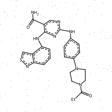 CCC(=O)N1CCN(c2ccc(Nc3ncc(C(N)=O)c(Nc4cccc5nscc45)n3)cc2)CC1